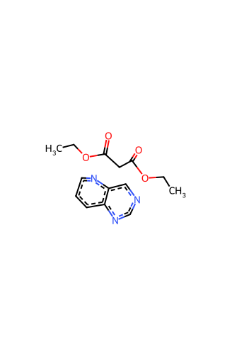 CCOC(=O)CC(=O)OCC.c1cnc2cncnc2c1